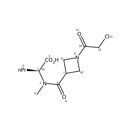 CCC[C@@H](C(=O)O)N(C)C(=O)C1CN(C(=O)CCl)C1